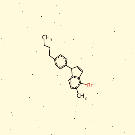 CCCCc1ccc(C2C=Cc3c2ccc(C)c3Br)cc1